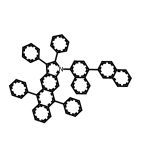 c1ccc(-c2c3ccccc3c(-c3ccccc3)c3cc4c(cc23)c(-c2ccccc2)c(-c2ccccc2)n4-c2ccc(-c3ccc4ccccc4c3)c3ccccc23)cc1